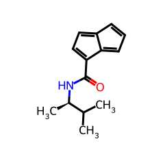 CC(C)[C@@H](C)NC(=O)C1=CC=C2C=CC=C21